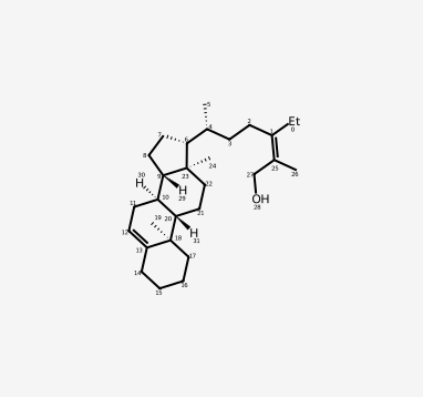 CCC(CC[C@@H](C)[C@H]1CC[C@H]2[C@@H]3CC=C4CCCC[C@]4(C)[C@H]3CC[C@]12C)=C(C)CO